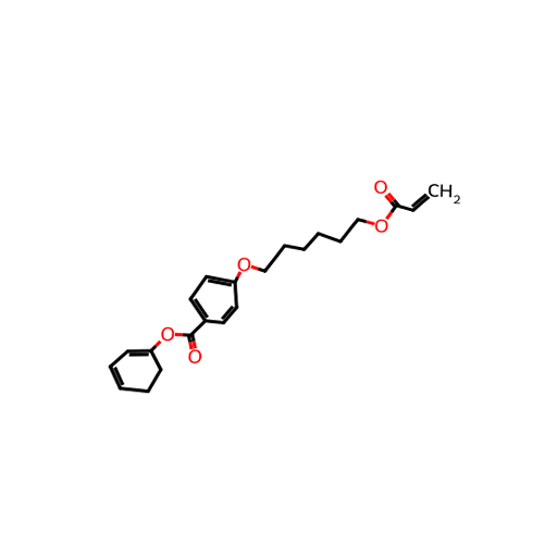 C=CC(=O)OCCCCCCOc1ccc(C(=O)OC2=CC=CCC2)cc1